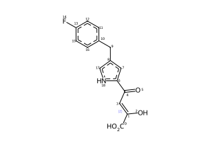 O=C(O)/C(O)=C/C(=O)c1cc(Cc2ccc(F)cc2)c[nH]1